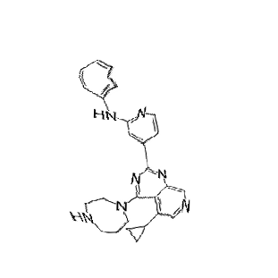 c1ccc(Nc2cc(-c3nc(N4CCCNCC4)c4c(C5CC5)cncc4n3)ccn2)cc1